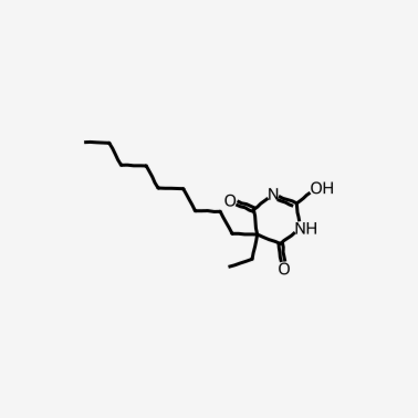 CCCCCCCCCC1(CC)C(=O)N=C(O)NC1=O